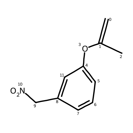 C=C(C)Oc1cccc(C[N+](=O)[O-])c1